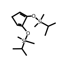 CC(C)[Si](C)(C)OC1=CCC=C1O[Si](C)(C)C(C)C